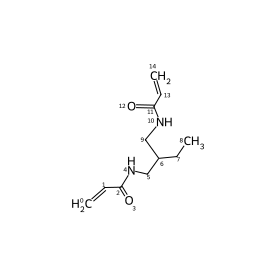 C=CC(=O)NCC(CC)CNC(=O)C=C